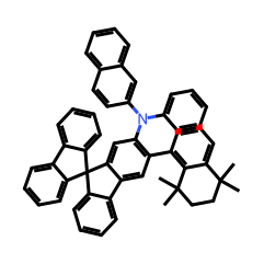 CC1(C)CCC(C)(C)c2c(-c3cc4c(cc3N(c3ccccc3)c3ccc5ccccc5c3)C3(c5ccccc5-c5ccccc53)c3ccccc3-4)cccc21